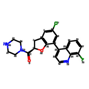 O=C([C@H]1Cc2cc(Cl)cc(-c3ccnc4c(F)cccc34)c2O1)N1CCNCC1